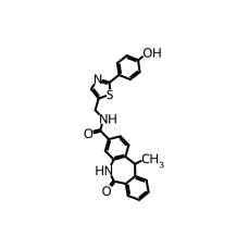 CC1c2ccc(C(=O)NCc3cnc(-c4ccc(O)cc4)s3)cc2NC(=O)c2ccccc21